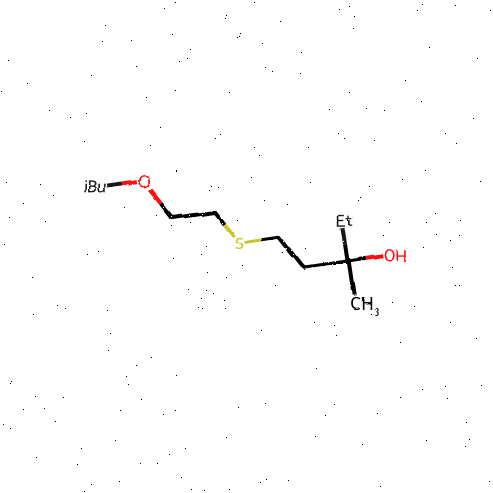 CCC(C)OCCSCCC(C)(O)CC